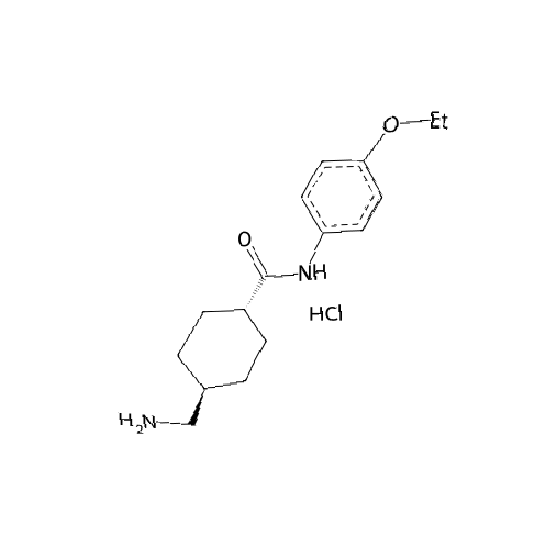 CCOc1ccc(NC(=O)[C@H]2CC[C@H](CN)CC2)cc1.Cl